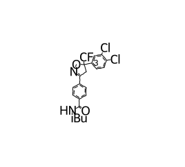 CCC(C)NC(=O)c1ccc(C2=NOC(c3ccc(Cl)c(Cl)c3)(C(F)(F)F)C2)cc1